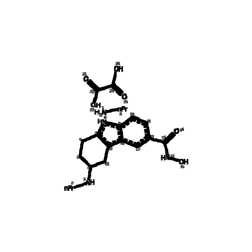 CCCN.CCCNC1CCc2[nH]c3ccc(C(=O)NO)cc3c2C1.O=C(O)C(=O)O